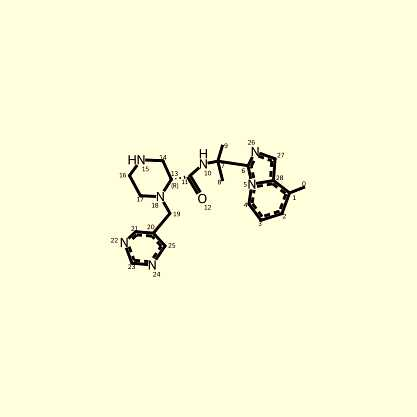 Cc1cccn2c(C(C)(C)NC(=O)[C@H]3CNCCN3Cc3cncnc3)ncc12